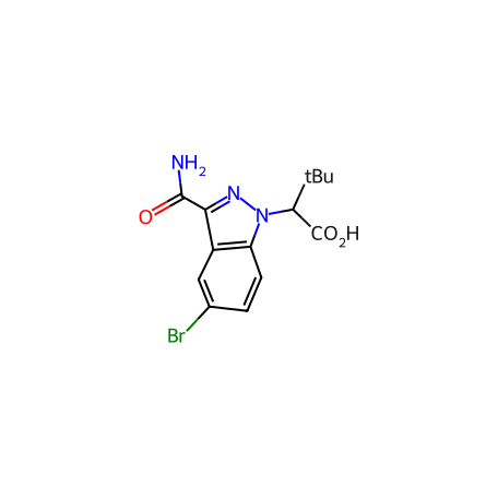 CC(C)(C)C(C(=O)O)n1nc(C(N)=O)c2cc(Br)ccc21